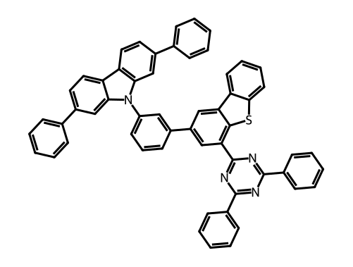 c1ccc(-c2ccc3c4ccc(-c5ccccc5)cc4n(-c4cccc(-c5cc(-c6nc(-c7ccccc7)nc(-c7ccccc7)n6)c6sc7ccccc7c6c5)c4)c3c2)cc1